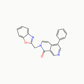 O=c1c2cncc(-c3ccccc3)c2ccn1Cc1nc2ccccc2o1